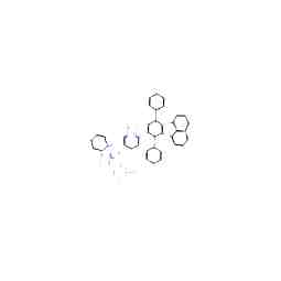 CCc1nc2ccccc2n1-c1ccc(-c2cc(-c3ccccc3)c3c(c2-c2ccccc2)-c2cccc4cccc-3c24)nc1